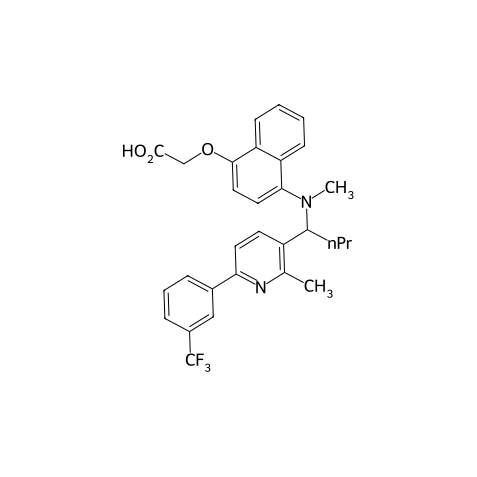 CCCC(c1ccc(-c2cccc(C(F)(F)F)c2)nc1C)N(C)c1ccc(OCC(=O)O)c2ccccc12